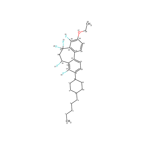 CCCCCC1CCC(c2ccc3c(c2F)C(F)CC(F)(F)c2c-3ccc(OCC)c2F)CC1